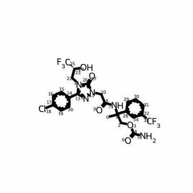 CC(COC(N)=O)(NC(=O)Cn1nc(-c2ccc(Cl)cc2)n(C[C@@H](O)C(F)(F)F)c1=O)c1cccc(C(F)(F)F)c1